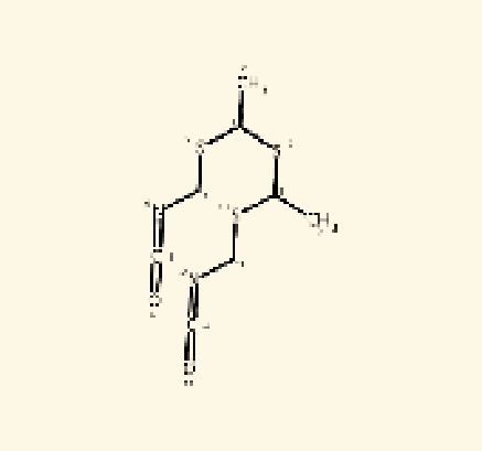 CC(SCN=C=O)SC(C)SCN=C=O